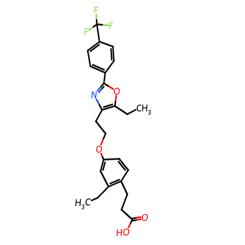 CCc1cc(OCCc2nc(-c3ccc(C(F)(F)F)cc3)oc2CC)ccc1CCC(=O)O